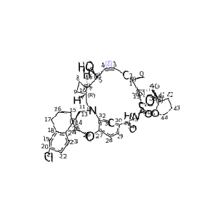 C[C@@H]1C/C=C\[C@H](O)[C@@H]2CC[C@H]2CN2C[C@@]3(CCCc4cc(Cl)ccc43)COc3ccc(cc32)C(=O)NS(=O)(=O)[C@H]1C[C@H]1CCCO1